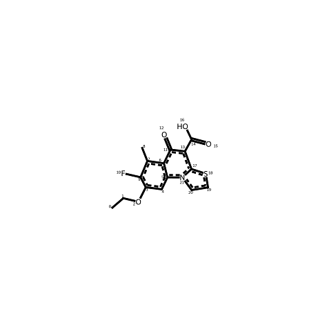 CCOc1cc2c(c(C)c1F)c(=O)c(C(=O)O)c1sccn12